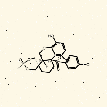 C[P@]1(=O)OC[C@]2(CCC[C@@]3(S(=O)(=O)c4ccc(Cl)cc4)c4c(O)ccc(O)c4OC[C@@H]23)CO1